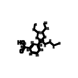 CCC[CH2][Sn]([CH2]CCC)([CH2]CCC)[c]1cccc(C(=O)O)c1